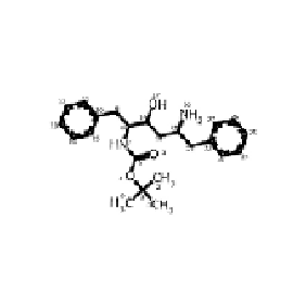 CC(C)(C)OC(=O)NC(Cc1ccccc1)C(O)CC(N)Cc1ccccc1